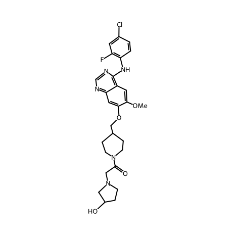 COc1cc2c(Nc3ccc(Cl)cc3F)ncnc2cc1OCC1CCN(C(=O)CN2CCC(O)C2)CC1